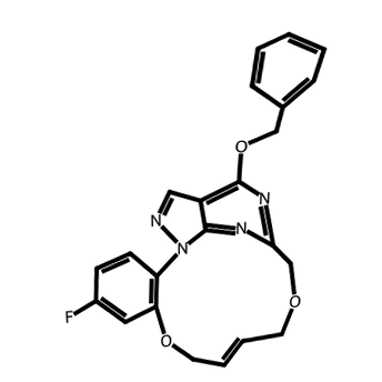 Fc1ccc2c(c1)OC/C=C/COCc1nc(OCc3ccccc3)c3cnn-2c3n1